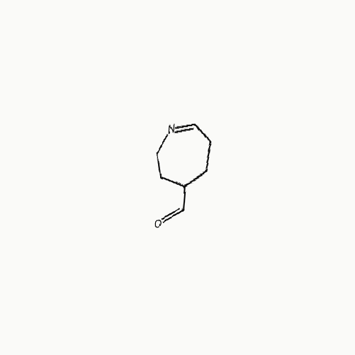 O=CC1CCC=NCC1